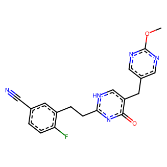 COc1ncc(Cc2c[nH]c(CCc3cc(C#N)ccc3F)nc2=O)cn1